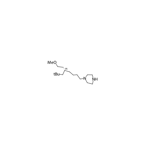 COCC[C@H](CCCCN1CCNCC1)CC(C)(C)C